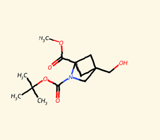 COC(=O)C12CC(CO)(CN1C(=O)OC(C)(C)C)C2